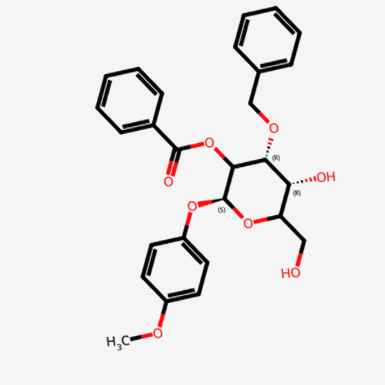 COc1ccc(O[C@@H]2OC(CO)[C@@H](O)[C@@H](OCc3ccccc3)C2OC(=O)c2ccccc2)cc1